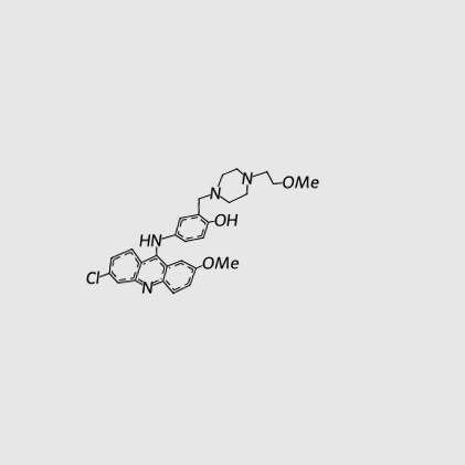 COCCN1CCN(Cc2cc(Nc3c4ccc(Cl)cc4nc4ccc(OC)cc34)ccc2O)CC1